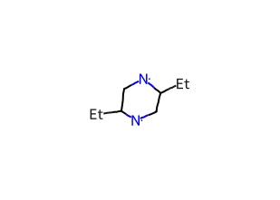 CCC1C[N]C(CC)C[N]1